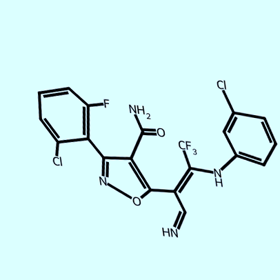 N=C/C(=C(\Nc1cccc(Cl)c1)C(F)(F)F)c1onc(-c2c(F)cccc2Cl)c1C(N)=O